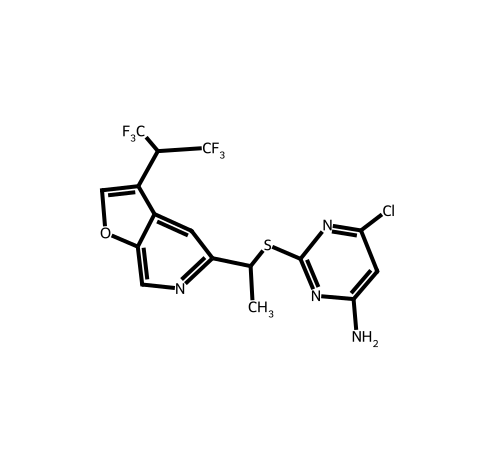 CC(Sc1nc(N)cc(Cl)n1)c1cc2c(C(C(F)(F)F)C(F)(F)F)coc2cn1